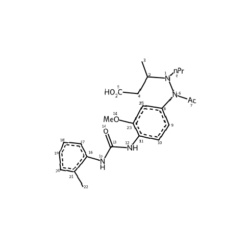 CCCN(C(C)CC(=O)O)N(C(C)=O)c1ccc(NC(=O)Nc2ccccc2C)c(OC)c1